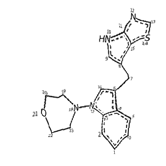 [c]1ccc2c(c1)c(Cc1c[nH]c3ncsc13)cn2N1CCOCC1